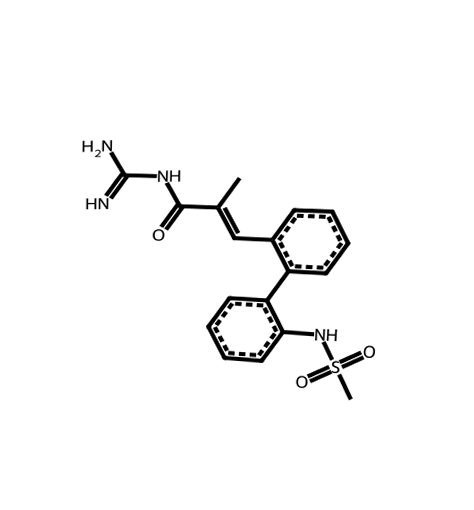 C/C(=C\c1ccccc1-c1ccccc1NS(C)(=O)=O)C(=O)NC(=N)N